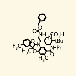 Cc1cc2c(cc1C(=O)N(C(C)C)[C@@H]1CCCN(C(=O)O)C1C(C)(C)C)N(CCNC(=O)OCc1ccccc1)C(=O)C(C)(c1cccc(C(F)(F)F)c1)O2